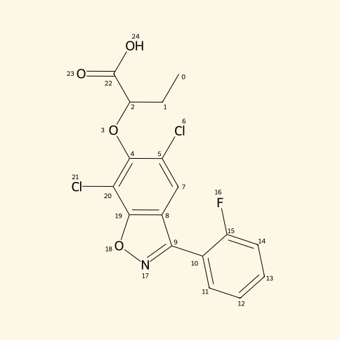 CCC(Oc1c(Cl)cc2c(-c3ccccc3F)noc2c1Cl)C(=O)O